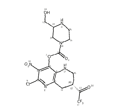 O=C(Oc1c2c(nc(Cl)c1[N+](=O)[O-])C[C@@H](C(=O)C(F)(F)F)CN2)N1CCNC(CO)C1